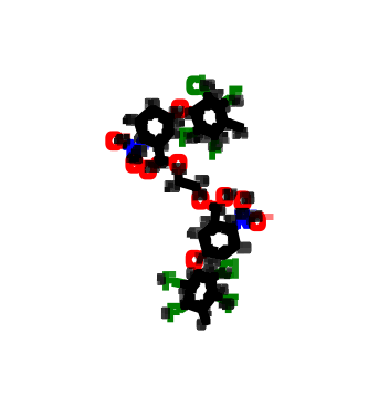 Cc1c(F)c(F)c(Oc2ccc([N+](=O)[O-])c(C(=O)OCCOC(=O)c3cc(Oc4c(F)c(F)c(C)c(F)c4Cl)ccc3[N+](=O)[O-])c2)c(Cl)c1F